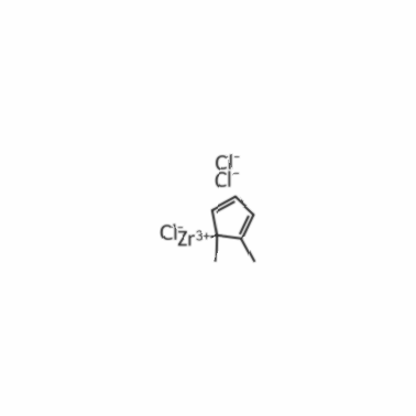 CC1=CC=C[C]1(C)[Zr+3].[Cl-].[Cl-].[Cl-]